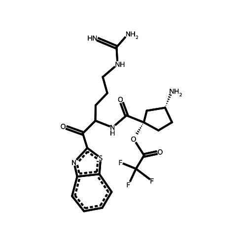 N=C(N)NCCCC(NC(=O)[C@]1(OC(=O)C(F)(F)F)CC[C@@H](N)C1)C(=O)c1nc2ccccc2s1